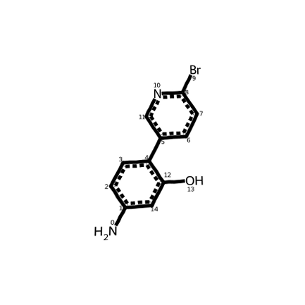 Nc1ccc(-c2ccc(Br)nc2)c(O)c1